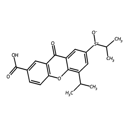 CC(C)c1cc([S+]([O-])C(C)C)cc2c(=O)c3cc(C(=O)O)ccc3oc12